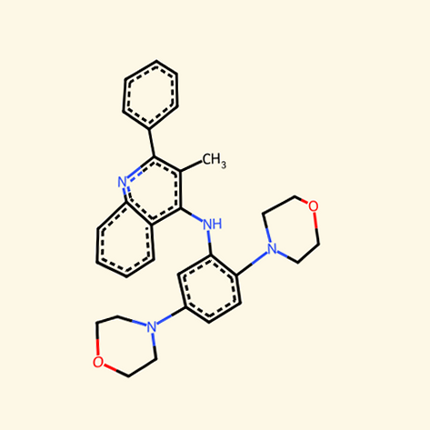 Cc1c(-c2ccccc2)nc2ccccc2c1Nc1cc(N2CCOCC2)ccc1N1CCOCC1